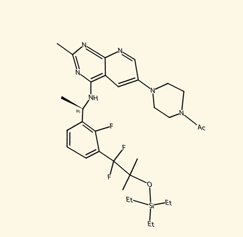 CC[Si](CC)(CC)OC(C)(C)C(F)(F)c1cccc([C@@H](C)Nc2nc(C)nc3ncc(N4CCN(C(C)=O)CC4)cc23)c1F